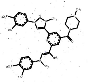 CN1CCN(C(=O)c2cc(C3=CN(c4ccc(C(=O)O)c(O)c4)NN3C)nc(/C(N)=C/N(N)c3ccc(C(=O)O)c(O)c3)c2)CC1